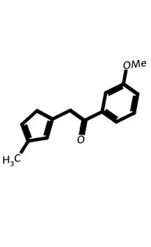 COc1cccc(C(=O)CC2=CC(C)=CC2)c1